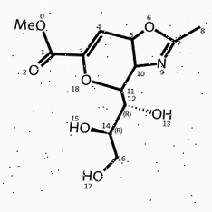 COC(=O)C1=CC2OC(C)=NC2C([C@H](O)[C@H](O)CO)O1